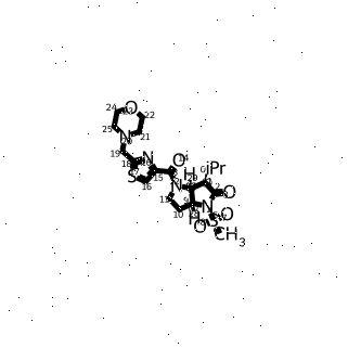 CC(C)[C@@H]1C(=O)N(S(C)(=O)=O)[C@@H]2CCN(C(=O)c3csc(CN4CCOCC4)n3)[C@H]21